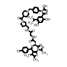 Cc1sc2c(c1C)C(c1ccc(Cl)cc1)=N[C@@H](CC(=O)NCC(=O)NCC1CCN(C(=O)C3CCN(Cc4ccc(-n5c(O)nnc5-c5cc(C(C)C)c(O)cc5O)cc4)CC3)C1)c1nnc(C)n1-2